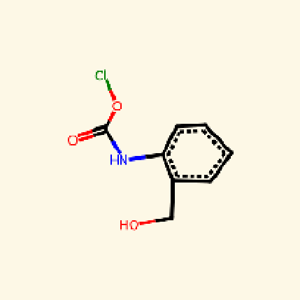 O=C(Nc1ccccc1CO)OCl